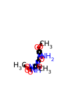 CCOC(=O)c1ccc(N(Cc2ccn(-c3cc4nc(C(=O)OCC)c(=O)[nH]c4cc3OC)c2)C(N)=O)cc1